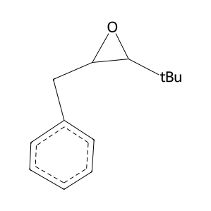 CC(C)(C)C1OC1Cc1ccccc1